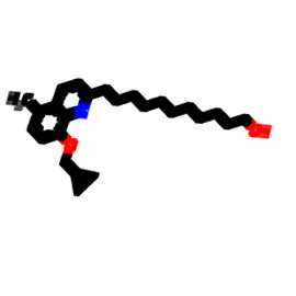 Cc1ccc(OCC2CC2)c2nc(CCCCCCCCCCCO)ccc12